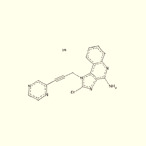 CCc1nc2c(N)nc3ccccc3c2n1CC#Cc1cnccn1.I